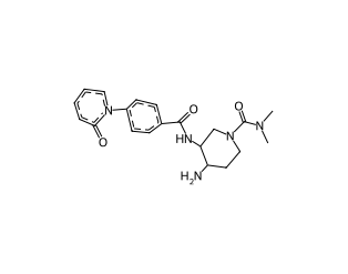 CN(C)C(=O)N1CCC(N)C(NC(=O)c2ccc(-n3ccccc3=O)cc2)C1